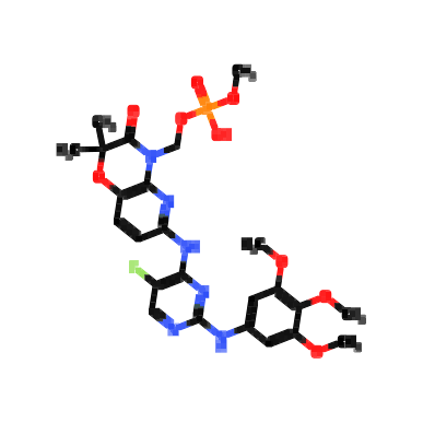 COc1cc(Nc2ncc(F)c(Nc3ccc4c(n3)N(COP(=O)(O)OC)C(=O)C(C)(C)O4)n2)cc(OC)c1OC